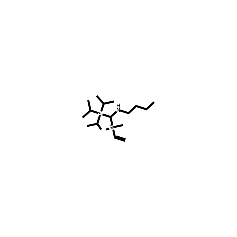 C=C[Si](C)(C)C(NCCCC)[Si](C(C)C)(C(C)C)C(C)C